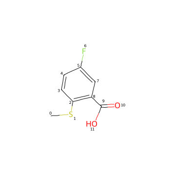 CSc1ccc(F)cc1C(=O)O